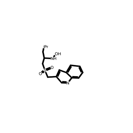 CC(C)CC(CS(=O)(=O)Cc1cnc2ccccc2c1)NO